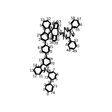 c1ccc(-c2cccc(-n3c4ccccc4c4cc(-c5ccc(-c6ccc7c(c6)C6(c8ccccc8-7)c7ccccc7N(c7nc(-c8ccccc8)nc(-c8ccccc8)n7)c7ccccc76)cc5)ccc43)c2)cc1